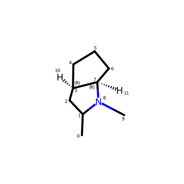 CC1C[C@H]2CCC[C@H]2N1C